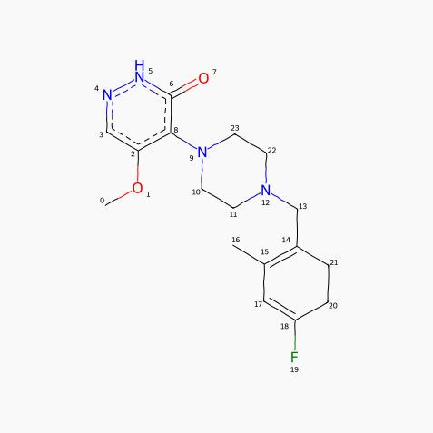 COc1cn[nH]c(=O)c1N1CCN(CC2=C(C)C=C(F)CC2)CC1